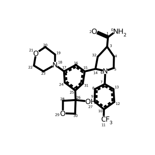 NC(=O)C1CCN(c2ccc(C(F)(F)F)cc2)C(c2cc(N3CCOCC3)cc(C3(O)COC3)c2)C1